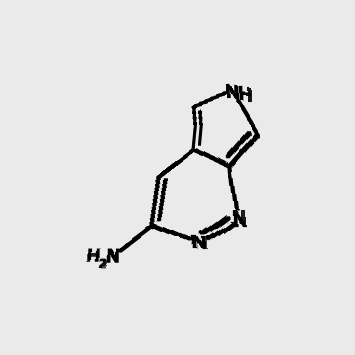 Nc1cc2c[nH]cc2nn1